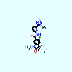 CC(C)n1cnnc1-c1cccc(NC(=O)c2cc3c(cc2F)C(C)(C)C(=O)N3C)n1